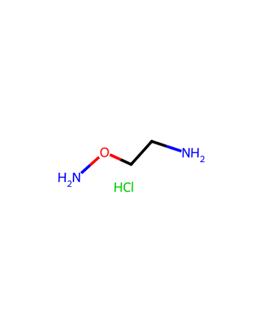 Cl.NCCON